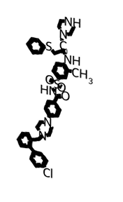 Cc1cc(S(=O)(=O)NC(=O)c2ccc(N3CCN(Cc4ccccc4-c4ccc(Cl)cc4)CC3)cc2)ccc1N[C@H](CCN1CCNCC1)CSc1ccccc1